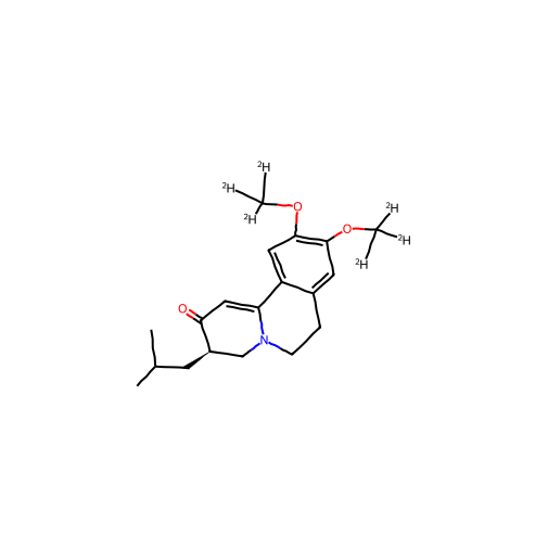 [2H]C([2H])([2H])Oc1cc2c(cc1OC([2H])([2H])[2H])C1=CC(=O)[C@H](CC(C)C)CN1CC2